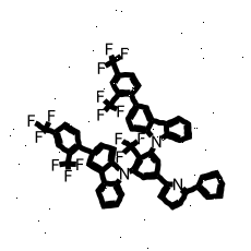 FC(F)(F)c1ccc(-c2ccc3c(c2)c2ccccc2n3-c2cc(-c3cccc(-c4ccccc4)n3)cc(-n3c4ccccc4c4cc(-c5ccc(C(F)(F)F)cc5C(F)(F)F)ccc43)c2C(F)(F)F)c(C(F)(F)F)c1